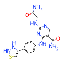 NC(=O)CNc1ncc(C(N)=O)c(Nc2ccc(C3=CSNN3)cc2)n1